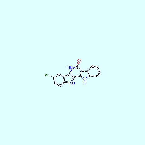 O=c1[nH]c2c3cc(Br)ccc3[nH]c2c2[nH]c3ccccc3c12